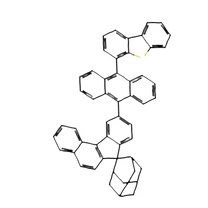 c1ccc2c3c(ccc2c1)C1(c2ccc(-c4c5ccccc5c(-c5cccc6c5sc5ccccc56)c5ccccc45)cc2-3)C2CC3CC(C2)CC1C3